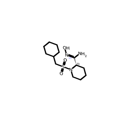 N/C(=N\O)[C@@H]1CCCCN1S(=O)(=O)CC1CCCCC1